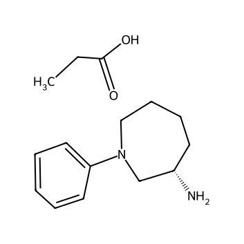 CCC(=O)O.N[C@H]1CCCCN(c2ccccc2)C1